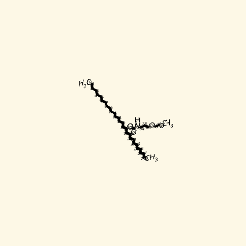 CCCCCCCCCCCCCCCCCC(CCCCCCCCCCCC)OC(=O)NCCCOCCOC